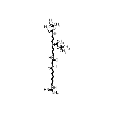 CC(C)(C)OC(=O)NCCCN(CCCCNC(=O)CNC(=O)CCCCCCNC(=N)N)C(=O)OC(C)(C)C